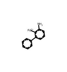 Nc1cccc(-c2ccccc2)[c]1[Pd+2]